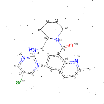 Cc1ccc2cccc(C(=O)N3CCCCC3CNc3ncc(Br)cn3)c2n1